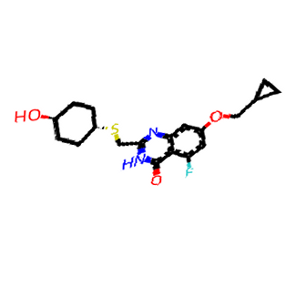 O=c1[nH]c(CS[C@H]2CC[C@H](O)CC2)nc2cc(OCC3CC3)cc(F)c12